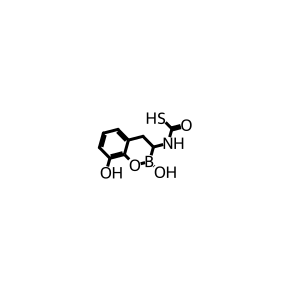 O=C(S)NC1Cc2cccc(O)c2OB1O